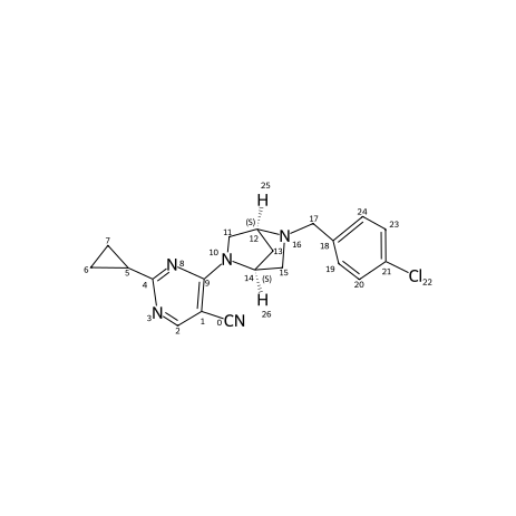 N#Cc1cnc(C2CC2)nc1N1C[C@@H]2C[C@H]1CN2Cc1ccc(Cl)cc1